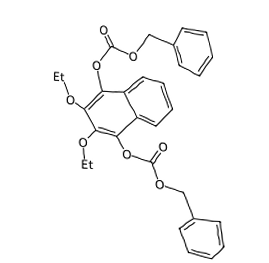 CCOc1c(OCC)c(OC(=O)OCc2ccccc2)c2ccccc2c1OC(=O)OCc1ccccc1